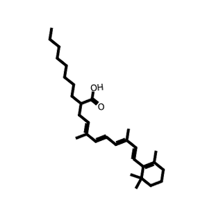 CCCCCCCCC(CC=C(C)C=CC=C(C)C=CC1=C(C)CCCC1(C)C)C(=O)O